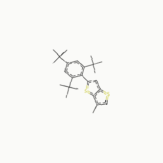 Cc1csc2cc(-c3c(C(C)(C)C)cc(C(C)(C)C)cc3C(C)(C)C)sc12